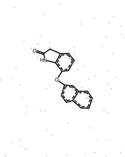 O=C1Cc2cccc(Oc3ccc4ccccc4c3)c2N1